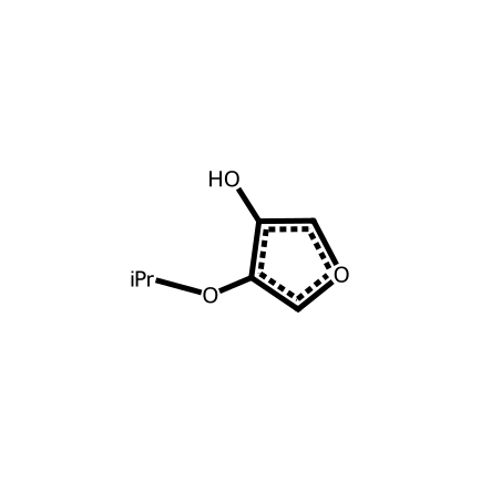 CC(C)Oc1cocc1O